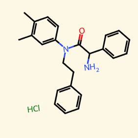 Cc1ccc(N(CCc2ccccc2)C(=O)C(N)c2ccccc2)cc1C.Cl